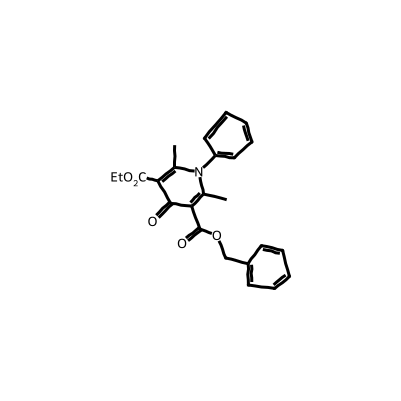 CCOC(=O)c1c(C)n(-c2ccccc2)c(C)c(C(=O)OCc2ccccc2)c1=O